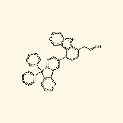 N=CCc1ccc(-c2ccc3c(c2)-c2ccccc2C3(c2ccccc2)c2ccccc2)c2c1[nH]c1ccccc12